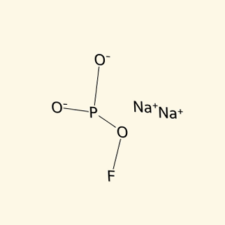 [Na+].[Na+].[O-]P([O-])OF